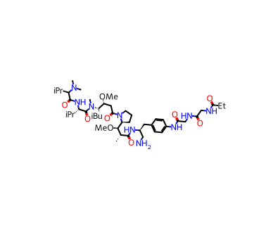 CCC(=O)NCC(=O)NCC(=O)Nc1ccc(C[C@@H](CN)NC(=O)[C@H](C)[C@@H](OC)[C@@H]2CCCN2C(=O)C[C@@H](OC)[C@H]([C@@H](C)CC)N(C)C(=O)[C@@H](NC(=O)C(C(C)C)N(C)C)C(C)C)cc1